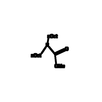 CCCCCCCCN(CCCCCCCC)C(=O)OC